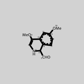 COC1=CNC(C=O)c2ccc(OC)cc21